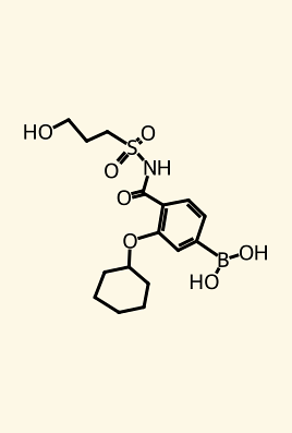 O=C(NS(=O)(=O)CCCO)c1ccc(B(O)O)cc1OC1CCCCC1